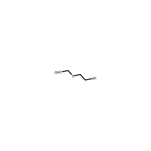 CCCCCSC[C]=O